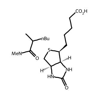 CCCCC(C)C(=O)NC.O=C(O)CCCC[C@@H]1SC[C@@H]2NC(=O)N[C@@H]21